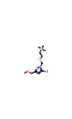 COCc1cc(Cl)n(COCC[Si](C)(C)C)n1